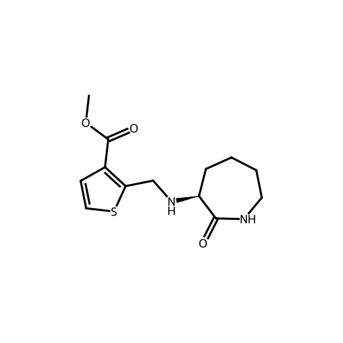 COC(=O)c1ccsc1CN[C@H]1CCCCNC1=O